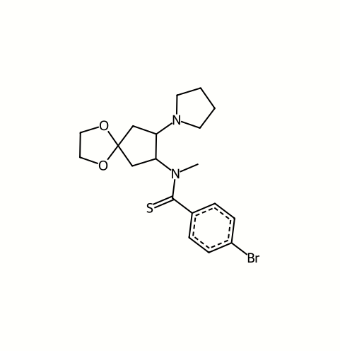 CN(C(=S)c1ccc(Br)cc1)C1CC2(CC1N1CCCC1)OCCO2